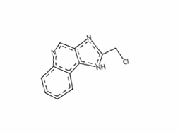 ClCc1nc2cnc3ccccc3c2[nH]1